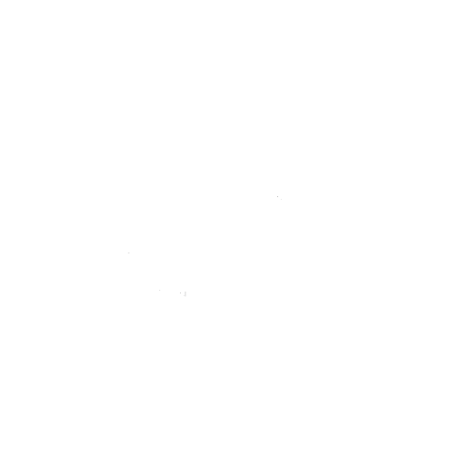 CC(=O)c1n[nH]c2ccc(-c3cccc4c3CN(CC3CO3)C4=O)cc12